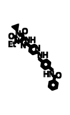 CCn1c(=O)n(C2CC2)c(=O)c2[nH]c(-c3ccc(NCc4ccc(CNC(=O)c5ccccc5)cc4)nc3)nc21